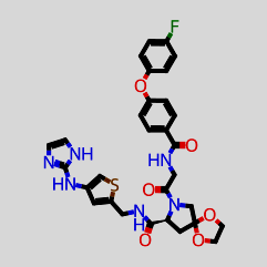 O=C(NCC(=O)N1CC2(C[C@H]1C(=O)NCc1cc(Nc3ncc[nH]3)cs1)OCCO2)c1ccc(Oc2ccc(F)cc2)cc1